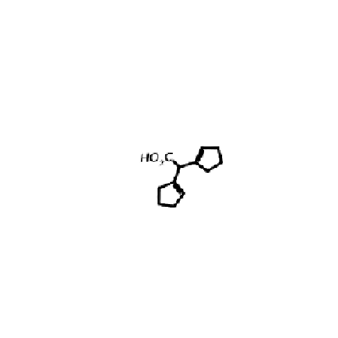 O=C(O)C(C1=CCCC1)C1=CCCC1